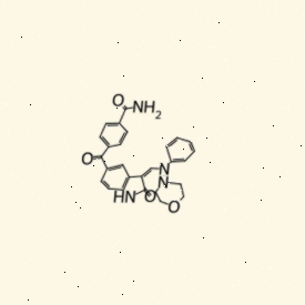 NC(=O)c1ccc(C(=O)c2ccc3c(c2)C(=CN(c2ccccc2)N2CCOCC2)C(=O)N3)cc1